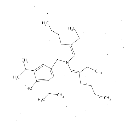 CCCCC(=CN(C=C(CC)CCCC)Cc1cc(C(C)C)c(O)c(C(C)C)c1)CC